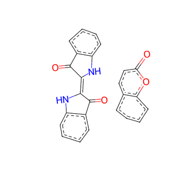 O=C1C(=C2Nc3ccccc3C2=O)Nc2ccccc21.O=c1ccc2ccccc2o1